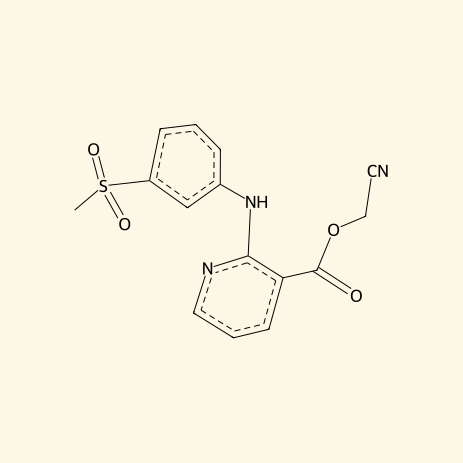 CS(=O)(=O)c1cccc(Nc2ncccc2C(=O)OCC#N)c1